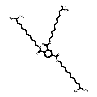 CC(C)CCCCCCCCCOC(=O)c1ccc(C(=O)OCCCCCCCCCC(C)C)c(C(=O)OCCCCCCCCCC(C)C)c1